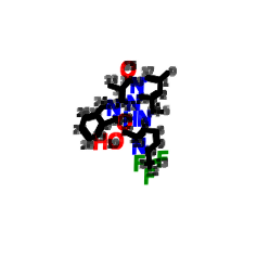 Cc1cc([C@@H](C)Nc2ccc(C(F)(F)F)nc2C(=O)O)c2nc(N3Cc4ccccc4C3)c(C)c(=O)n2c1